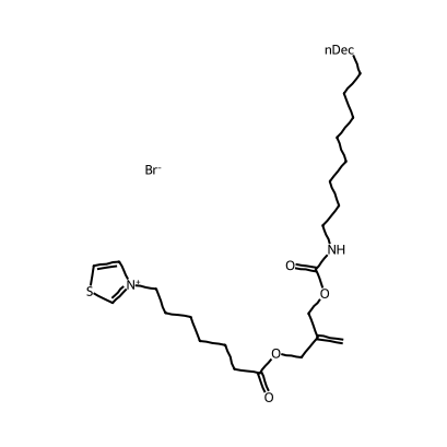 C=C(COC(=O)CCCCCC[n+]1ccsc1)COC(=O)NCCCCCCCCCCCCCCCCCC.[Br-]